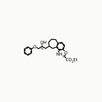 CCOC(=O)COc1ccc2c(c1N)CC(C[C@H](O)COc1ccccc1)CCC2